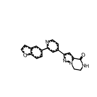 O=C1NCCn2nc(-c3ccnc(-c4ccc5occc5c4)c3)cc21